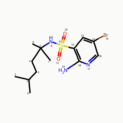 C[C](C)CCC(C)(C)NS(=O)(=O)c1cc(Br)cnc1N